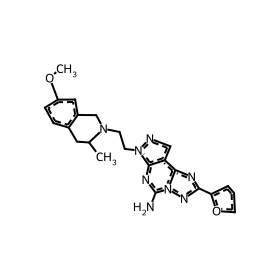 COc1ccc2c(c1)CN(CCn1ncc3c1nc(N)n1nc(-c4ccco4)nc31)C(C)C2